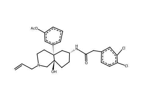 C=CCN1CC[C@@]2(c3cccc(OC(C)=O)c3)C[C@H](NC(=O)Cc3ccc(Cl)c(Cl)c3)CC[C@]2(O)C1